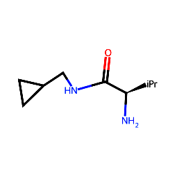 CC(C)[C@@H](N)C(=O)NCC1CC1